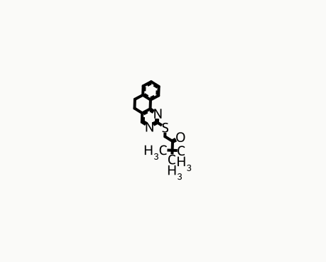 CC(C)(C)C(=O)CSc1ncc2c(n1)-c1ccccc1CC2